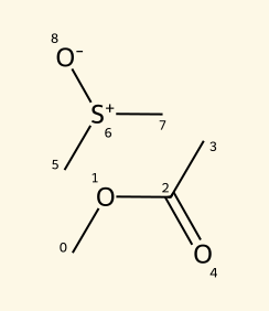 COC(C)=O.C[S+](C)[O-]